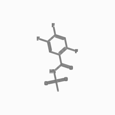 CS(=O)(=O)NC(=O)c1cc(F)c(F)cc1F